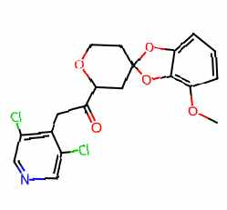 COc1cccc2c1OC1(CCOC(C(=O)Cc3c(Cl)cncc3Cl)C1)O2